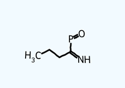 CCCC(=N)P=O